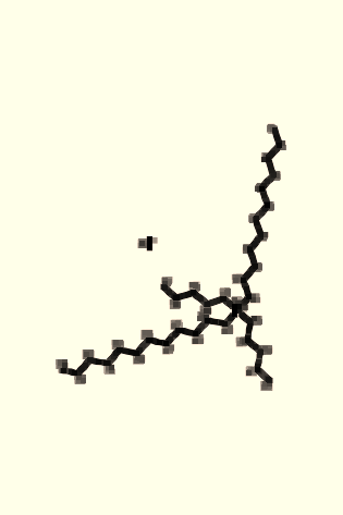 CCCCCCCCCCCC[P+](CCCCC)(CCCCC)CCCCCCCCCCCC.[I-]